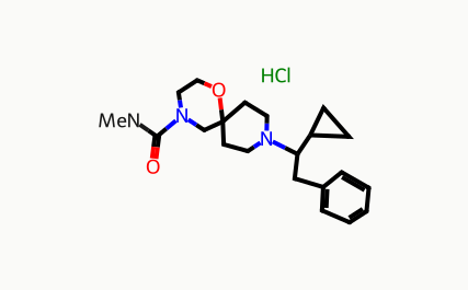 CNC(=O)N1CCOC2(CCN(C(Cc3ccccc3)C3CC3)CC2)C1.Cl